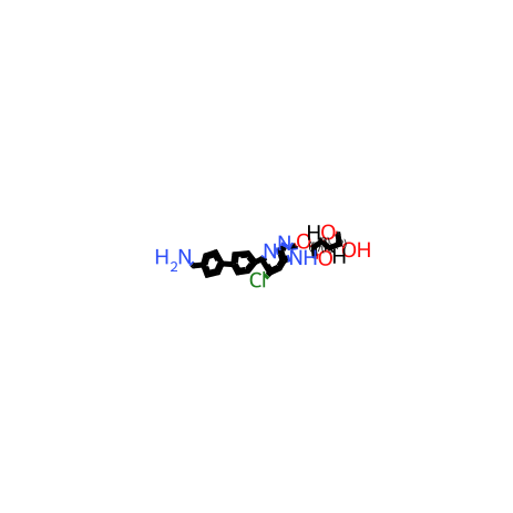 NCc1ccc(-c2ccc(-c3nc4nc(O[C@@H]5CO[C@H]6[C@@H]5OC[C@H]6O)[nH]c4cc3Cl)cc2)cc1